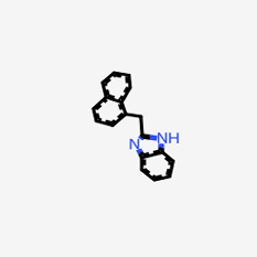 c1ccc2c(Cc3nc4ccccc4[nH]3)cccc2c1